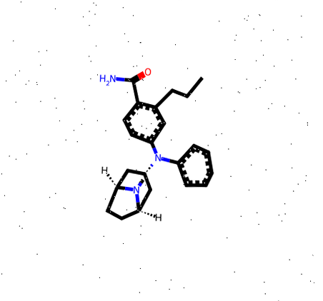 CCCc1cc(N(c2ccccc2)[C@@H]2C[C@H]3CC[C@@H](C2)N3C)ccc1C(N)=O